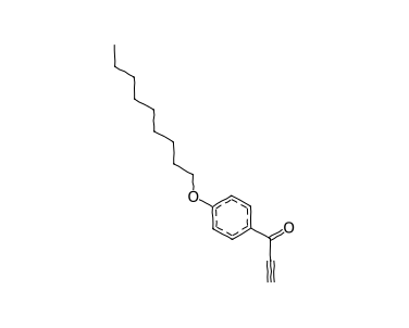 C#CC(=O)c1ccc(OCCCCCCCCC)cc1